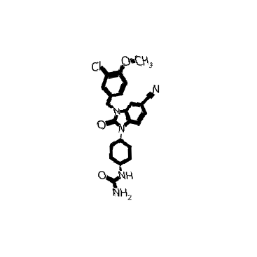 COc1ccc(Cn2c(=O)n([C@H]3CC[C@H](NC(N)=O)CC3)c3ccc(C#N)cc32)cc1Cl